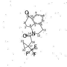 O=C1CCC2c3c(cccc31)CCN2C(=O)CC1(C(F)(F)F)CC1